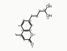 Cc1cc(=O)oc2cc(CCCC(O)O)ccc12